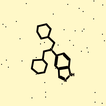 c1cc2[nH]ncc2cc1N(CC1CCCCC1)CC1CCCCC1